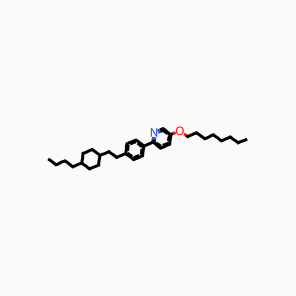 CCCCCCCCOc1ccc(-c2ccc(CCC3CCC(CCCC)CC3)cc2)nc1